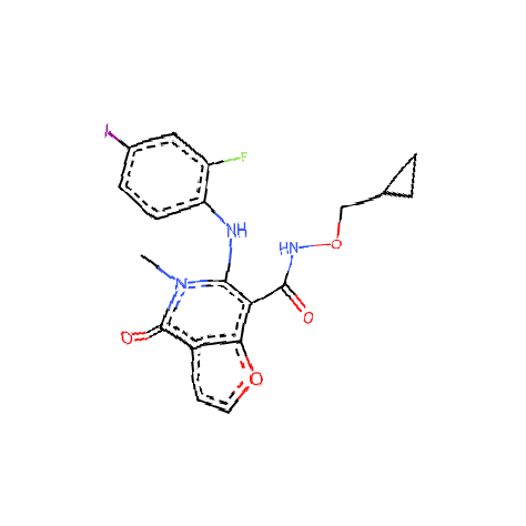 Cn1c(Nc2ccc(I)cc2F)c(C(=O)NOCC2CC2)c2occc2c1=O